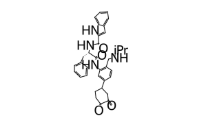 CC(C)NCc1ccc(C2CCC(=O)C(=O)C2)cc1NC(=O)[C@H](Cc1ccccc1)NC(=O)c1cc2ccccc2[nH]1